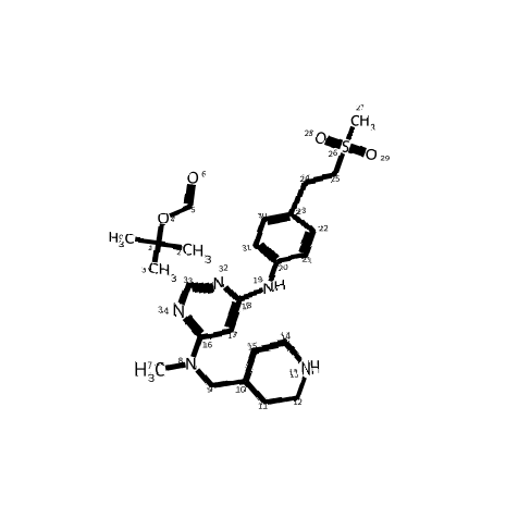 CC(C)(C)OC=O.CN(CC1CCNCC1)c1cc(Nc2ccc(CCS(C)(=O)=O)cc2)ncn1